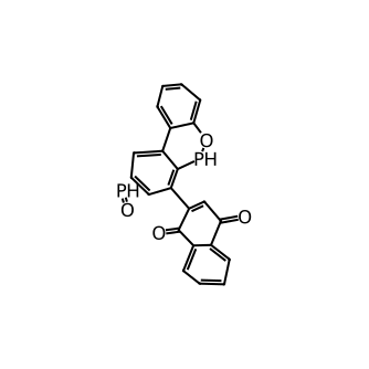 O=C1C=C(c2cccc3c2POc2ccccc2-3)C(=O)c2ccccc21.O=P